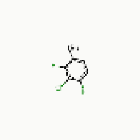 CC(C)(C)c1ccc(F)c(Cl)c1F